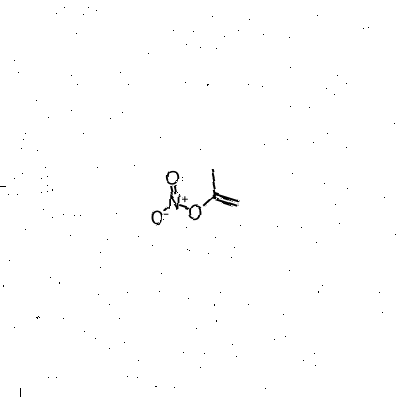 C=C(C)O[N+](=O)[O-]